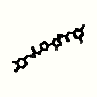 CN1CC(CNC(=O)O[C@H]2CC[C@@H](c3cc(NC(=O)Cc4cc(F)cc(F)c4)n[nH]3)C2)OCC1=O